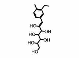 CCc1cc(C=C(O)C(O)C(O)C(O)C(O)CO)ccc1C